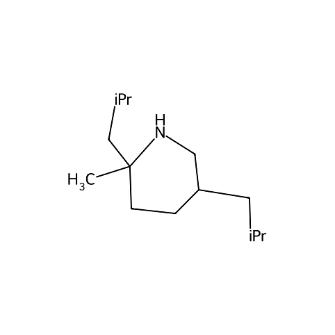 CC(C)CC1CCC(C)(CC(C)C)NC1